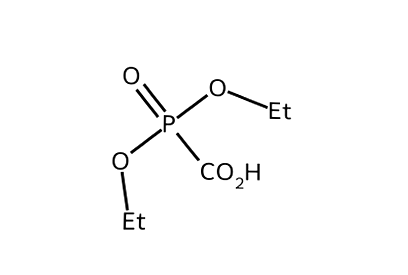 CCOP(=O)(OCC)C(=O)O